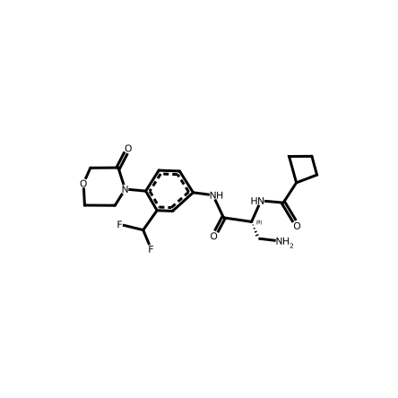 NC[C@@H](NC(=O)C1CCC1)C(=O)Nc1ccc(N2CCOCC2=O)c(C(F)F)c1